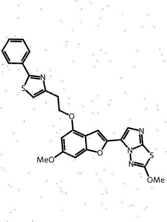 COc1cc(OCCc2csc(-c3ccccc3)n2)c2cc(-c3cnc4sc(OC)nn34)oc2c1